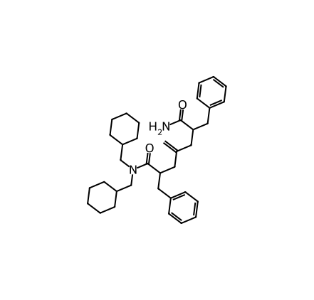 C=C(CC(Cc1ccccc1)C(N)=O)CC(Cc1ccccc1)C(=O)N(CC1CCCCC1)CC1CCCCC1